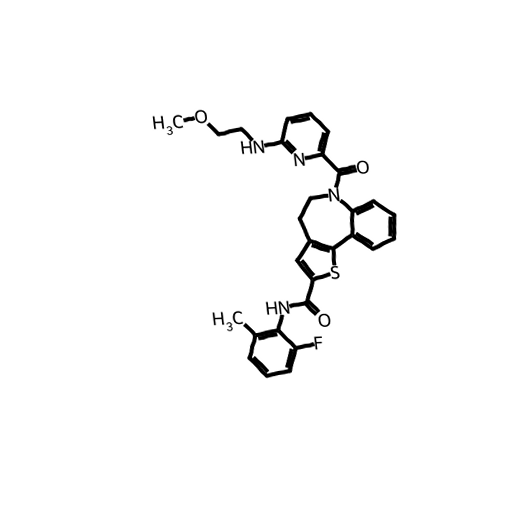 COCCNc1cccc(C(=O)N2CCc3cc(C(=O)Nc4c(C)cccc4F)sc3-c3ccccc32)n1